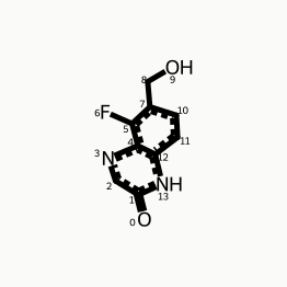 O=c1cnc2c(F)c(CO)ccc2[nH]1